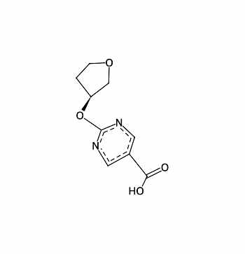 O=C(O)c1cnc(O[C@H]2CCOC2)nc1